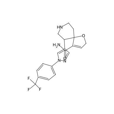 NC(=O)C1=CCOC12CCNCC2c1cnn(-c2ccc(C(F)(F)F)cc2)c1